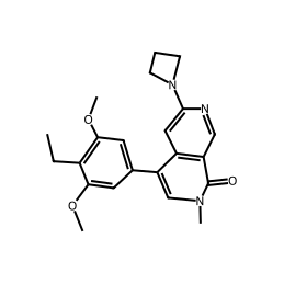 CCc1c(OC)cc(-c2cn(C)c(=O)c3cnc(N4CCC4)cc23)cc1OC